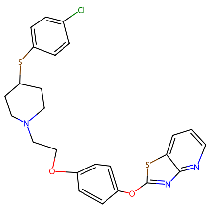 Clc1ccc(SC2CCN(CCOc3ccc(Oc4nc5ncccc5s4)cc3)CC2)cc1